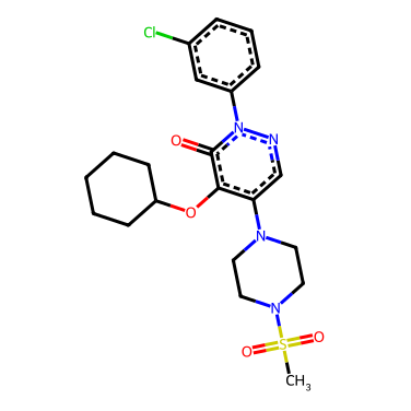 CS(=O)(=O)N1CCN(c2cnn(-c3cccc(Cl)c3)c(=O)c2OC2CCCCC2)CC1